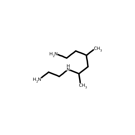 C[C](CCN)CC(C)NCCN